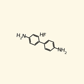 F.Nc1ccc(-c2ccc(N)cc2)cc1